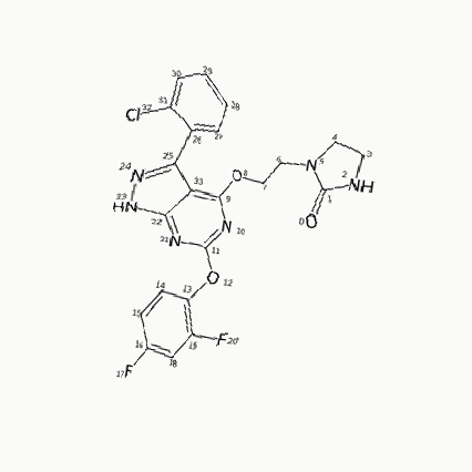 O=C1NCCN1CCOc1nc(Oc2ccc(F)cc2F)nc2[nH]nc(-c3ccccc3Cl)c12